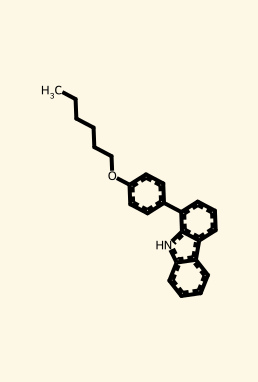 CCCCCCOc1ccc(-c2cccc3c2[nH]c2ccccc23)cc1